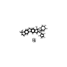 CC1(C)C=Cc2cc3c(cc21)Cc1cc2c(cc1-3)C=[C]([Zr+2]([C]1=CC=CC1)=[C]1CCCCC1)C2(C)C.[Cl-].[Cl-]